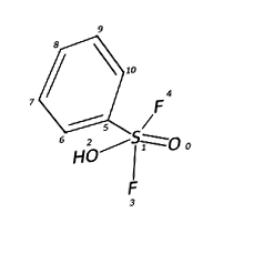 O=S(O)(F)(F)c1ccccc1